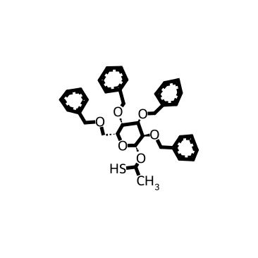 CC(S)O[C@@H]1O[C@H](COCc2ccccc2)[C@H](OCc2ccccc2)[C@H](OCc2ccccc2)[C@H]1OCc1ccccc1